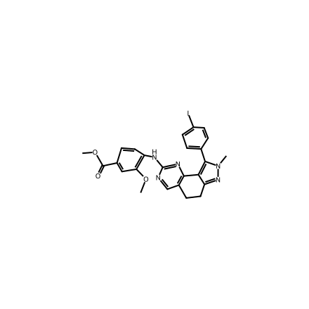 COC(=O)c1ccc(Nc2ncc3c(n2)-c2c(nn(C)c2-c2ccc(I)cc2)CC3)c(OC)c1